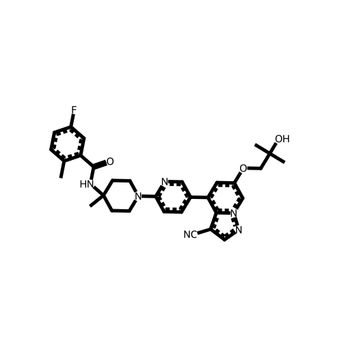 Cc1ccc(F)cc1C(=O)NC1(C)CCN(c2ccc(-c3cc(OCC(C)(C)O)cn4ncc(C#N)c34)cn2)CC1